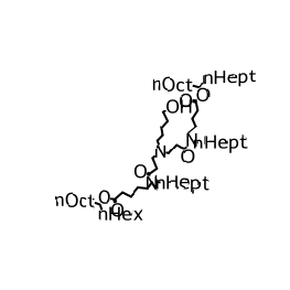 CCCCCCCCC(CCCCCC)OC(=O)CCCCN(CCCCCCC)C(=O)CCN(CCCCCO)CCC(=O)N(CCCCCCC)CCCCC(=O)O[C@H](CCCCCCC)CCCCCCCC